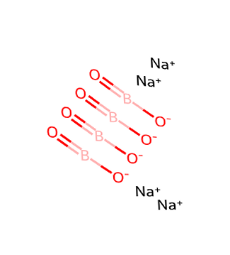 O=B[O-].O=B[O-].O=B[O-].O=B[O-].[Na+].[Na+].[Na+].[Na+]